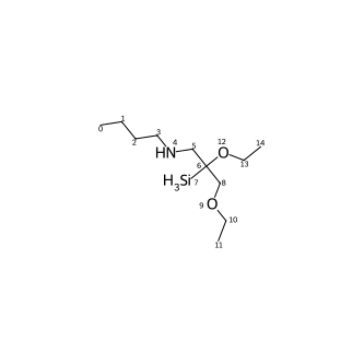 CCCCNCC([SiH3])(COCC)OCC